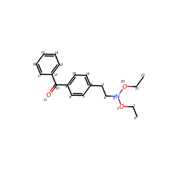 CCON(CCc1ccc(C(=O)c2ccccc2)cc1)OCC